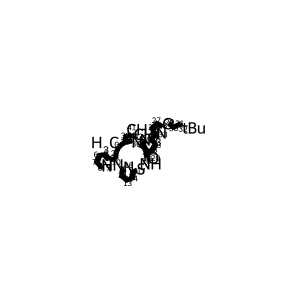 CC1CC(c2ccccn2)Nc2cccc(n2)SNC(=O)c2ccc(-n3ccc(OCCC(C)(C)C)n3)nc2N2CC1CC2(C)C